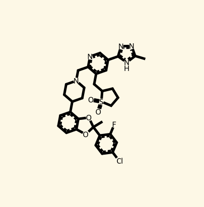 Cc1nnc(-c2cnc(CN3CCC(c4cccc5c4OC(C)(c4ccc(Cl)cc4F)O5)CC3)c(CC3CCCS3(=O)=O)c2)[nH]1